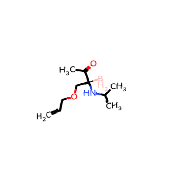 B[C@](COCC=C)(NC(C)C)C(C)=O